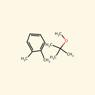 COC(C)(C)C.Cc1ccccc1C